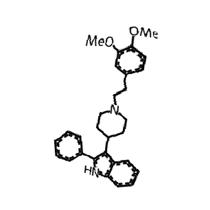 COc1ccc(CCN2CCC(c3c(-c4ccccc4)[nH]c4ccccc34)CC2)cc1OC